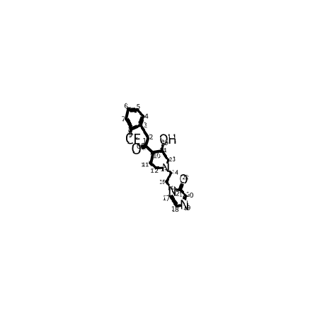 O=C(Cc1ccccc1C(F)(F)F)C1CCN(CCn2ccncc2=O)CC1O